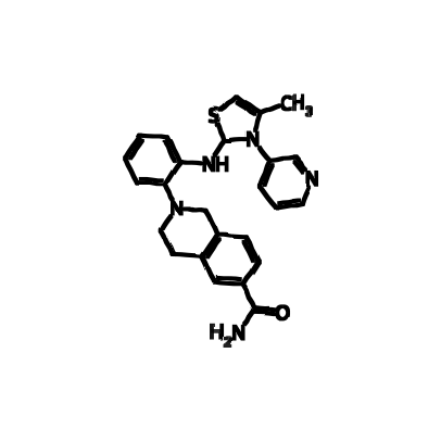 CC1=CSC(Nc2ccccc2N2CCc3cc(C(N)=O)ccc3C2)N1c1cccnc1